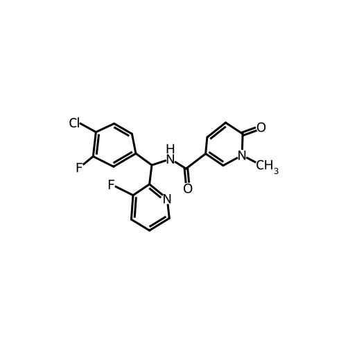 Cn1cc(C(=O)NC(c2ccc(Cl)c(F)c2)c2ncccc2F)ccc1=O